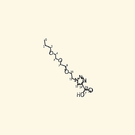 CCCOCCOCCOCCn1cc(C(=O)O)nn1